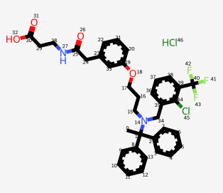 CC(c1ccccc1)(c1ccccc1)N(CCCOc1cccc(CC(=O)NCCC(=O)O)c1)Cc1cccc(C(F)(F)F)c1Cl.Cl